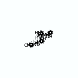 O=C(COc1ccc(Cl)cc1)Nc1cccc2nc(-c3c(NC[C@@H](O)c4ccccc4)cc[nH]c3=O)[nH]c12